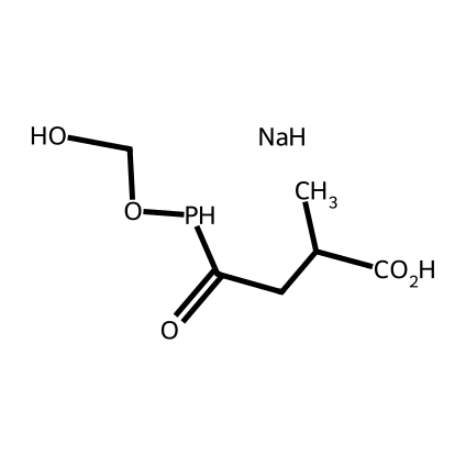 CC(CC(=O)POCO)C(=O)O.[NaH]